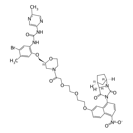 Cc1cnc(NC(=O)Nc2cc(Br)c(C)cc2OC[C@@H]2CN(C(=O)COCCOCCOc3ccc4c([N+](=O)[O-])ccc(N5C(=O)[C@H]6[C@H]7CC[C@H](C7)N6C5=O)c4c3)CCO2)cn1